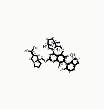 Cn1ncc2ccc(F)c(-c3c(F)c4c5c(nc(OC[C@@]67CCCN6CC(=C(F)F)C7)nc5c3F)N3C[C@H]5CC[C@H](N5)[C@H]3CO4)c21